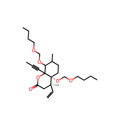 C=C[C@@]1(C)CC(=O)OC2(C#CC)C(OCOCCCC)C(C)CC[C@]21OCOCCCC